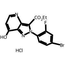 CCOC(=O)c1c2nccc(O)c2nn1-c1ccc(Br)cc1F.Cl